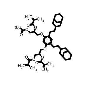 C=C(C)C(=O)OCC(COc1cc(OCC(COC(=O)C(C)(C)C)OC(=O)C(=C)C)c(CCC2CC3CCCC(C3)C2)cc1CCC1CC2CCCC(C2)C1)OC(=O)C(=C)C